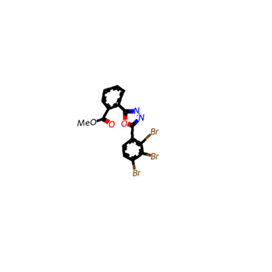 COC(=O)c1ccccc1-c1nnc(-c2ccc(Br)c(Br)c2Br)o1